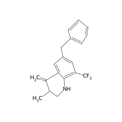 C=C1c2cc(Cc3ccccc3)cc(C(F)(F)F)c2NCC1C